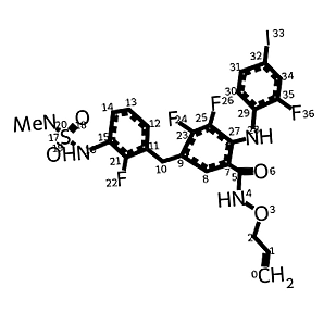 C=CCONC(=O)c1cc(Cc2cccc(NS(=O)(=O)NC)c2F)c(F)c(F)c1Nc1ccc(I)cc1F